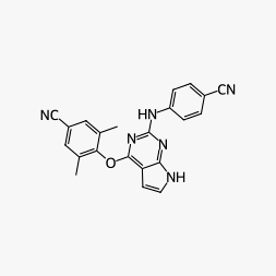 Cc1cc(C#N)cc(C)c1Oc1nc(Nc2ccc(C#N)cc2)nc2[nH]ccc12